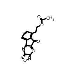 CC(=O)OCCc1cccc2c1C(=O)c1nc3nonc3nc1-2